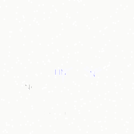 CCOC(=O)C(C#N)=CNc1nccc2ccccc12